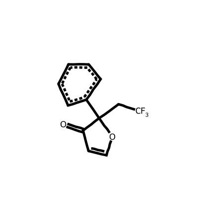 O=C1C=COC1(CC(F)(F)F)c1ccccc1